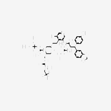 COC(=O)N[C@H](C(=O)Nc1cncc(F)c1CC[C@@H]1CN(C(=O)OC(C)(C)C)[C@H](COC(=O)NCC(F)(F)F)CO1)[C@@H](c1ccc(Cl)cc1)c1ccc2c(c1)OCO2